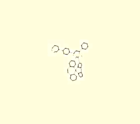 C1=Cc2ccccc2C2(c3ccccc31)c1ccccc1-c1ccc(-c3nc(-c4ccccc4)cc(-c4ccc(-c5cccnc5)cc4)n3)cc12